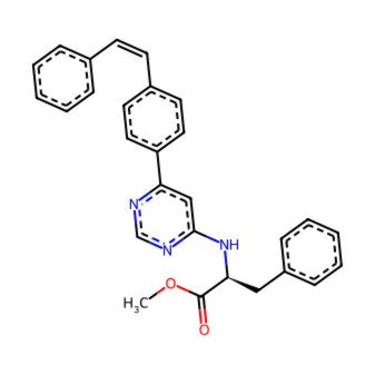 COC(=O)[C@H](Cc1ccccc1)Nc1cc(-c2ccc(/C=C\c3ccccc3)cc2)ncn1